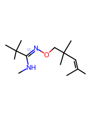 CN/C(=N\OCC(C)(C)C=C(C)C)C(C)(C)C